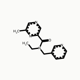 CCN(Cc1cccnc1)C(=O)c1cncc(C)n1